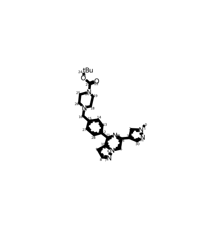 Cn1cc(-c2cn3nccc3c(-c3ccc(CN4CCN(C(=O)OC(C)(C)C)CC4)cc3)n2)cn1